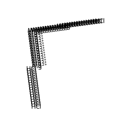 Cl.Cl.Cl.Cl.Cl.Cl.Cl.Cl.Cl.Cl.Cl.Cl.Cl.Cl.Cl.Cl.Cl.Cl.Cl.Cl.Cl.Cl.Cl.Cl.Cl.Cl.Cl.Cl.Cl.Cl.Cl.Cl.Cl.Cl.[Mg+2].[Mg+2].[Mg+2].[Mg+2].[Mg+2].[Mg+2].[Mg+2].[Mg+2].[Mg+2].[Mg+2].[Mg+2].[Mg+2].[Mg+2].[Mg+2].[Mg+2].[Mg+2].[Mg+2].[Mg+2].[Mg+2].[Mg+2].[Mg+2].[Mg+2].[Mg+2].[Mg+2].[Mg+2].[Mg+2].[Mg+2].[Mg+2].[Mg+2].[Mg+2]